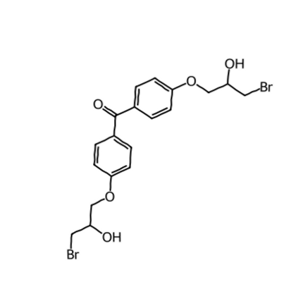 O=C(c1ccc(OCC(O)CBr)cc1)c1ccc(OCC(O)CBr)cc1